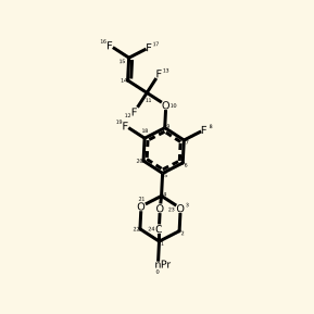 CCCC12COC(c3cc(F)c(OC(F)(F)C=C(F)F)c(F)c3)(OC1)OC2